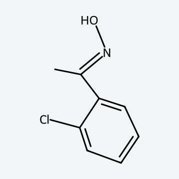 C/C(=N\O)c1ccccc1Cl